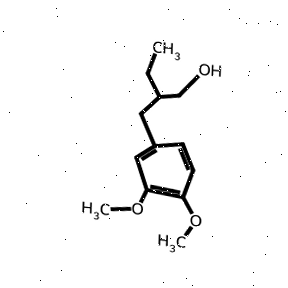 CCC(CO)Cc1ccc(OC)c(OC)c1